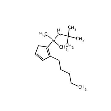 CCCCCC1=C([Si](C)(C)NC(C)(C)C)CC=C1